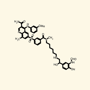 COc1cccc(Nc2c(C(N)=O)cnc3c(C)cc(S(=O)(=O)c4cccc(C(=O)N(C)CCCCCCNCC(O)c5ccc(O)c(NC=O)c5)c4)cc23)c1